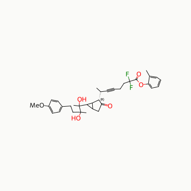 COc1ccc(CCC(C)(O)C(C)(O)C2C3CC(=O)[C@@H](C(C)C#CCCC(F)(F)C(=O)Oc4ccccc4C)C32)cc1